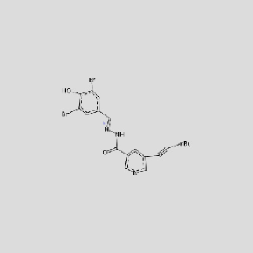 CCCCC#Cc1cncc(C(=O)N/N=C/c2cc(Br)c(O)c(Br)c2)c1